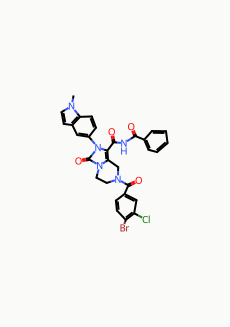 Cn1ccc2cc(-n3c(C(=O)NC(=O)c4ccccc4)c4n(c3=O)CCN(C(=O)c3ccc(Br)c(Cl)c3)C4)ccc21